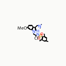 COc1ccc2c(CN(C)C)cn(CC(NS(=O)(=O)c3c(C)cc(C)cc3C)C(F)(F)F)c2c1